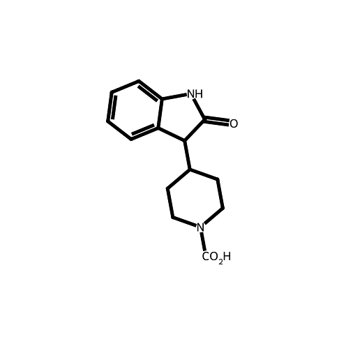 O=C1Nc2ccccc2C1C1CCN(C(=O)O)CC1